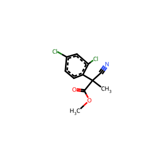 COC(=O)C(C)(C#N)c1ccc(Cl)cc1Cl